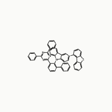 c1ccc(-c2nc(-c3ccccc3)nc(-c3cccc(-c4ccccc4)c3-n3c4ccccc4c4cc(-c5cccc6sc7ccccc7c56)ccc43)n2)cc1